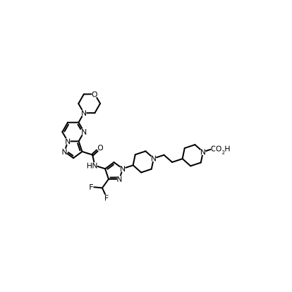 O=C(Nc1cn(C2CCN(CCC3CCN(C(=O)O)CC3)CC2)nc1C(F)F)c1cnn2ccc(N3CCOCC3)nc12